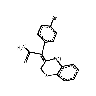 NC(=O)C(=C1CSc2ccccc2N1)c1ccc(Br)cc1